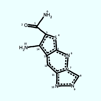 NC(=O)c1sc2nn3cnnc3cc2c1N